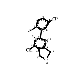 Fc1ccc(Cl)cc1-c1nc(Cl)c2c(n1)COC2